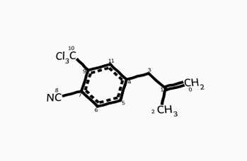 C=C(C)Cc1ccc(C#N)c(C(Cl)(Cl)Cl)c1